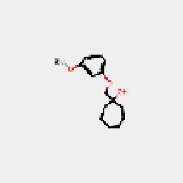 CC[C@@H](C)Oc1cccc(OCC2(O)CCCCCC2)c1